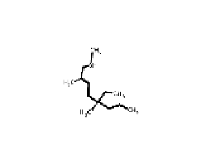 CBC[C@H](C)CC[C@](C)(CC)CCC